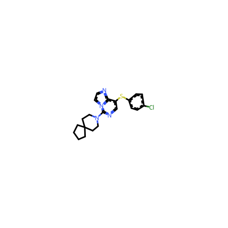 Clc1ccc(Sc2cnc(N3CCC4(CCCC4)CC3)n3ccnc23)cc1